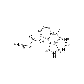 CN(c1cccc(NC(=O)CC#N)c1)c1ncnc2[nH]ccc12